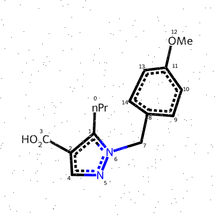 CCCc1c(C(=O)O)cnn1Cc1ccc(OC)cc1